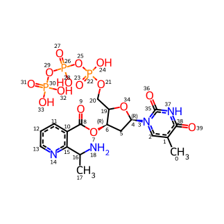 Cc1cn([C@H]2C[C@@H](OC(=O)c3cccnc3C(C)N)C(COP(=O)(O)OP(=O)(O)OP(=O)(O)O)O2)c(=O)[nH]c1=O